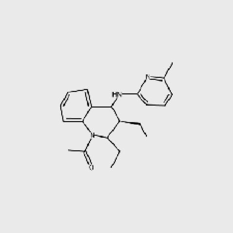 CCC1[C@H](CC)C(Nc2cccc(C)n2)c2ccccc2N1C(C)=O